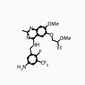 CCC(COc1cc2c(NCc3cc(N)cc(C(F)(F)F)c3F)nc(C)nc2cc1OC)OC